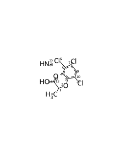 CC(Oc1cc(Cl)c(Cl)cc1Cl)C(=O)O.[NaH]